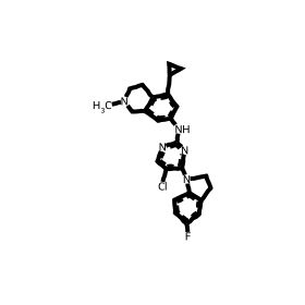 CN1CCc2c(cc(Nc3ncc(Cl)c(N4CCc5cc(F)ccc54)n3)cc2C2CC2)C1